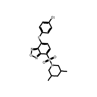 CCc1ccc(Sc2ccc(S(=O)(=O)N3CC(C)CC(C)C3)c3nonc23)cc1